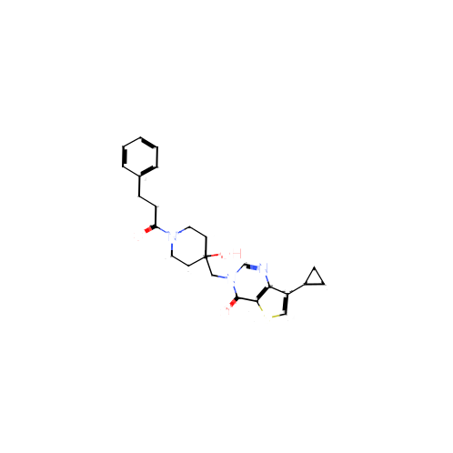 O=C(CCc1ccccc1)N1CCC(O)(Cn2cnc3c(C4CC4)csc3c2=O)CC1